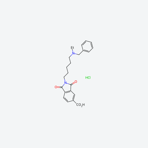 CCN(CCCCCN1C(=O)c2ccc(C(=O)O)cc2C1=O)Cc1ccccc1.Cl